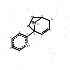 C1=CC2(c3ccccn3)CCC(C1)N2